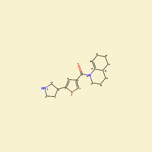 O=C(c1csc(C2CCNC2)c1)N1CCCC2CCCC=C21